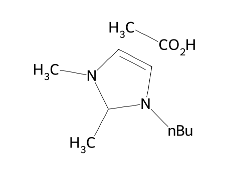 CC(=O)O.CCCCN1C=CN(C)C1C